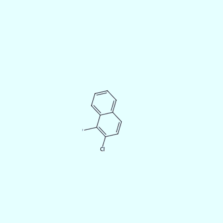 [CH]c1c(Cl)ccc2ccccc12